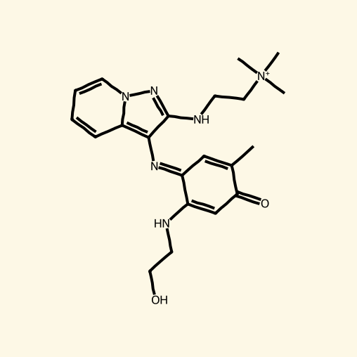 CC1=C/C(=N\c2c(NCC[N+](C)(C)C)nn3ccccc23)C(NCCO)=CC1=O